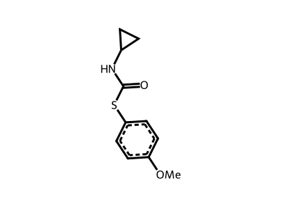 COc1ccc(SC(=O)NC2CC2)cc1